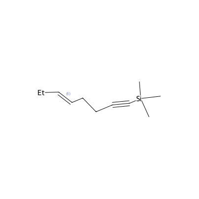 CC/C=C/CCC#C[Si](C)(C)C